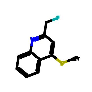 CCCSc1cc(CF)nc2ccccc12